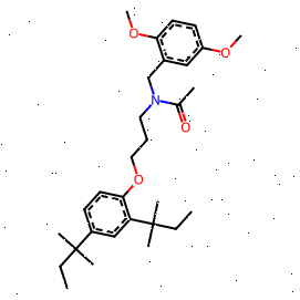 CCC(C)(C)c1ccc(OCCCN(Cc2cc(OC)ccc2OC)C(C)=O)c(C(C)(C)CC)c1